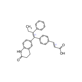 CC/C(=C(/c1ccc(/C=C/C(=O)O)cc1)c1ccc2c(c1)CCC(=O)N2)c1ccccc1